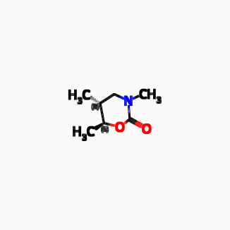 C[C@@H]1CN(C)C(=O)O[C@H]1C